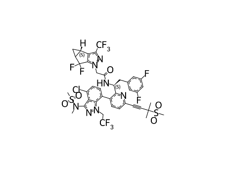 CN(c1nn(CC(F)(F)F)c2c(-c3ccc(C#CC(C)(C)S(C)(=O)=O)nc3[C@H](Cc3cc(F)cc(F)c3)NC(=O)Cn3nc(C(F)(F)F)c4c3C(F)(F)C3C[C@H]43)ccc(Cl)c12)S(C)(=O)=O